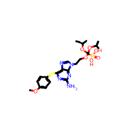 COc1ccc(Sc2nc(N)nc3c2ncn3CCOC(OC(C)C)(OC(C)C)P(=O)(O)O)cc1